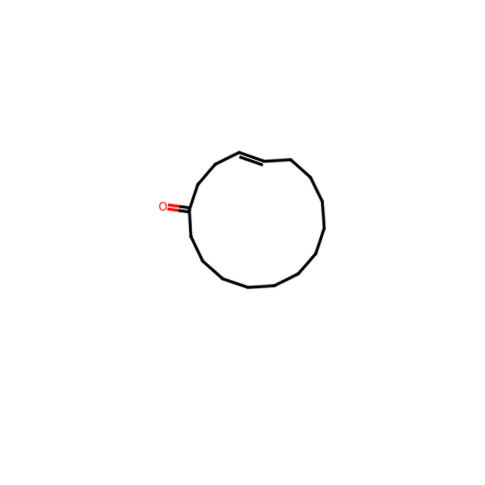 O=C1CC/C=C/CCCCCCCCCCC1